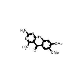 COc1cc(C(=O)c2cnc(N)nc2N)c(C(C)C)cc1OC